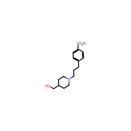 CCOC(=O)c1ccc(CCCN2CCC(CO)CC2)cc1